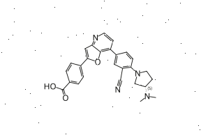 CN(C)[C@H]1CCN(c2ccc(-c3ccnc4cc(-c5ccc(C(=O)O)cc5)oc34)cc2C#N)C1